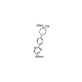 CCCCCCCCCCC1(C#N)CCC(c2ccc(-c3ncc(CCCCC)cn3)cc2)CC1